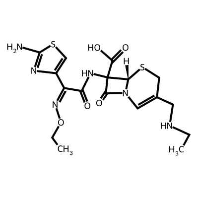 CCNCC1=CN2C(=O)C(NC(=O)/C(=N\OCC)c3csc(N)n3)(C(=O)O)[C@@H]2SC1